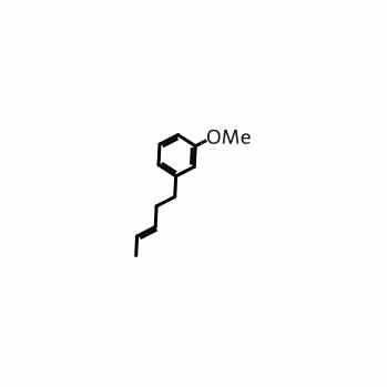 CC=CCCc1cccc(OC)c1